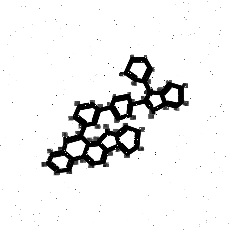 c1ccc(-n2c(-c3ccc(-c4cccc(-c5nc6ccccc6c6ccc7c8ccccc8sc7c56)c4)cc3)nc3ccccc32)cc1